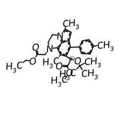 CCOC(=O)CN1CCn2c(C)cc3c(-c4ccc(C)cc4)c([C@H](OC(C)(C)C)C(=O)OC)c(C)c1c32